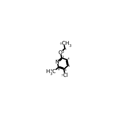 CCOc1ccc(Cl)c(C)n1